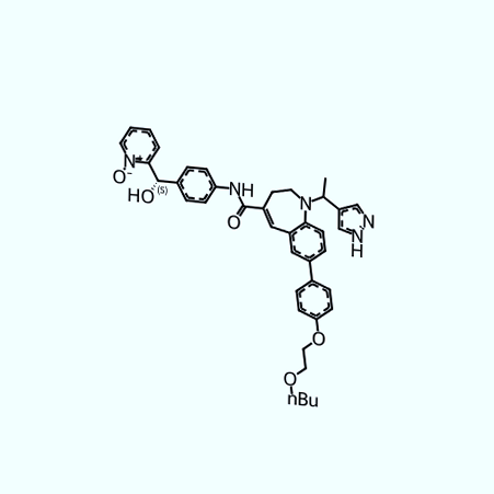 CCCCOCCOc1ccc(-c2ccc3c(c2)C=C(C(=O)Nc2ccc([C@H](O)c4cccc[n+]4[O-])cc2)CCN3C(C)c2cn[nH]c2)cc1